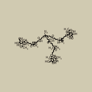 CC(=O)NC1C(O)[C@@H](O)C(CO)O[C@H]1C(C)(C)OCCCCC(=O)C(C)(C)CNCCNC(=O)CCOCC(C)(COCCC(=O)NCCCNC(C)(C)C(=O)CCCCOC(C)(C)[C@@H]1OC(CO)[C@H](O)C(O)C1NC(C)=O)COCCC(=O)NCCCNC(C)(C)C(=O)CCCCOC(C)(C)[C@@H]1OC(CO)[C@H](O)C(O)C1NC(C)=O